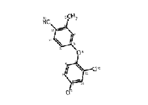 Cc1cc(Oc2ccc(Cl)cc2Cl)ccc1C#N